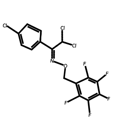 Fc1c(F)c(F)c(CON=C(c2ccc(Cl)cc2)C(Cl)Cl)c(F)c1F